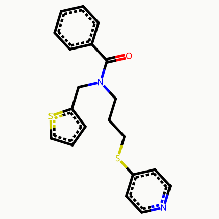 O=C(c1ccccc1)N(CCCSc1ccncc1)Cc1cccs1